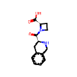 O=C(O)[C@@H]1CCN1C(=O)[C@H]1Cc2ccccc2CN1